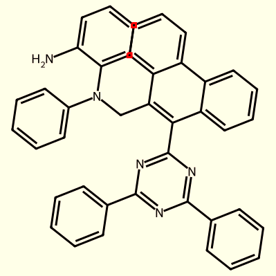 Nc1ccccc1N(Cc1c(-c2nc(-c3ccccc3)nc(-c3ccccc3)n2)c2ccccc2c2ccccc12)c1ccccc1